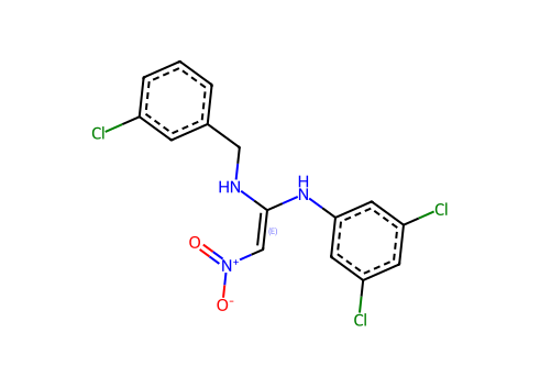 O=[N+]([O-])/C=C(\NCc1cccc(Cl)c1)Nc1cc(Cl)cc(Cl)c1